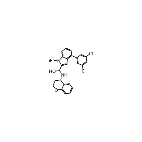 CC(C)n1c(C(O)N[C@H]2CCOc3ccccc32)cc2c(-c3cc(Cl)cc(Cl)c3)cccc21